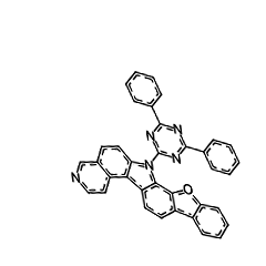 c1ccc(-c2nc(-c3ccccc3)nc(-n3c4ccc5cnccc5c4c4ccc5c6ccccc6oc5c43)n2)cc1